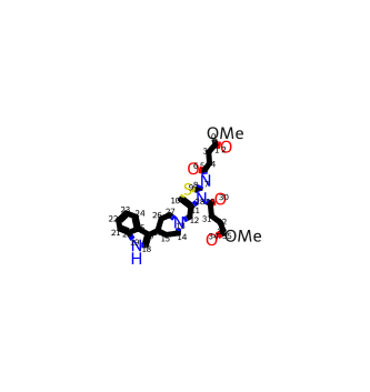 COC(=O)CCC(=O)N=c1scc(CN2CCC(c3c[nH]c4ccccc34)CC2)n1C(=O)CCC(=O)OC